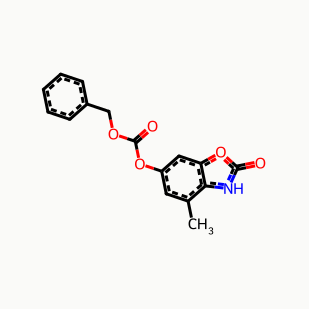 Cc1cc(OC(=O)OCc2ccccc2)cc2oc(=O)[nH]c12